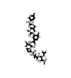 Cc1ccc(NC2=NC3=C(CN2)CN(c2cc(C(=O)N[C@H](C(=O)N4CC[C@H]4C(=O)NC(C)(C)C(=O)N[C@@H](CC(C)C)C(=O)N(C)C)C(C)C)ccc2C)C(=O)N3C)cn1